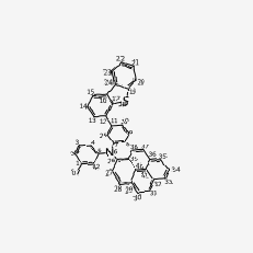 Cc1cccc(N(c2cccc(-c3cccc4c3sc3ccccc34)c2)c2ccc3ccc4cccc5ccc2c3c45)c1